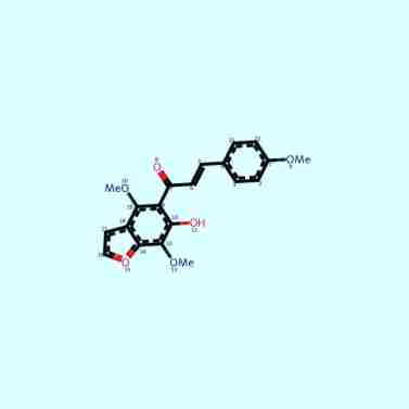 COc1ccc(C=CC(=O)c2c(O)c(OC)c3occc3c2OC)cc1